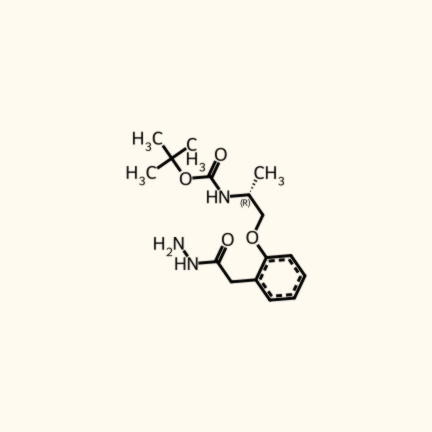 C[C@H](COc1ccccc1CC(=O)NN)NC(=O)OC(C)(C)C